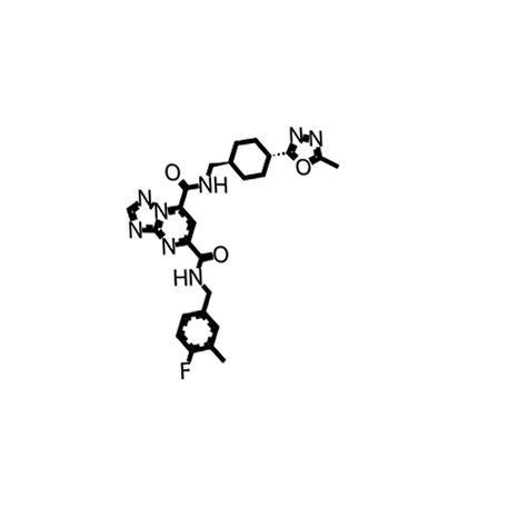 Cc1nnc([C@H]2CC[C@H](CNC(=O)c3cc(C(=O)NCc4ccc(F)c(C)c4)nc4ncnn34)CC2)o1